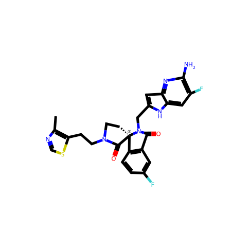 Cc1ncsc1CCN1CC[C@@]2(C1=O)c1ccc(F)cc1C(=O)N2Cc1cc2nc(N)c(F)cc2[nH]1